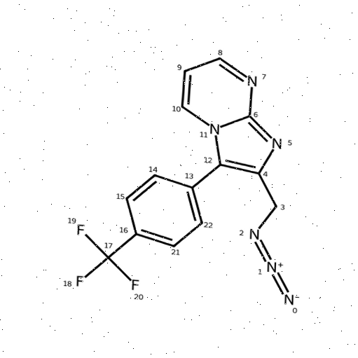 [N-]=[N+]=NCc1nc2ncccn2c1-c1ccc(C(F)(F)F)cc1